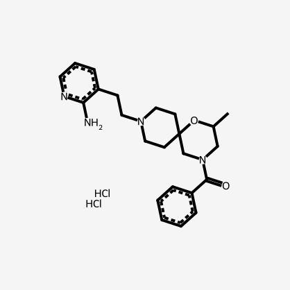 CC1CN(C(=O)c2ccccc2)CC2(CCN(CCc3cccnc3N)CC2)O1.Cl.Cl